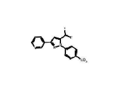 O=[N+]([O-])c1ccc(-n2nc(-c3cccnc3)cc2C(F)F)cc1